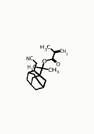 C=C(C)C(=O)OC(C)(C)C12CC3CC(CC(C3)C1CC#N)C2